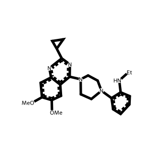 CCNc1ccccc1N1CCN(c2nc(C3CC3)nc3cc(OC)c(OC)cc23)CC1